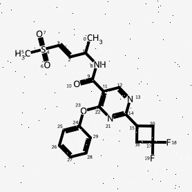 CC(/C=C/S(C)(=O)=O)NC(=O)c1cnc(C2CC(F)(F)C2)nc1Oc1ccccc1